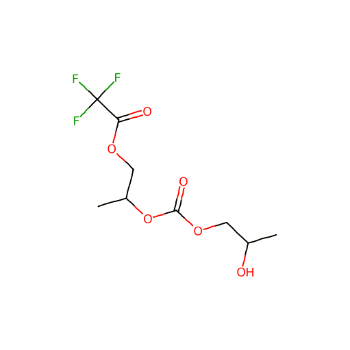 CC(O)COC(=O)OC(C)COC(=O)C(F)(F)F